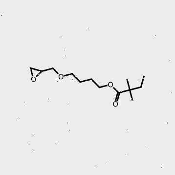 CCC(C)(C)C(=O)OCCCCOCC1CO1